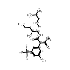 CCC[C@H](O)[C@H](CNCC(C)C)NC(=O)C(C(N)=O)c1cc(N)cc(C(F)(F)F)c1